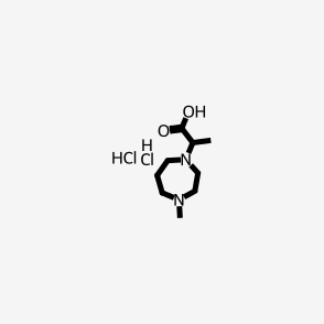 CC(C(=O)O)N1CCCN(C)CC1.Cl.Cl